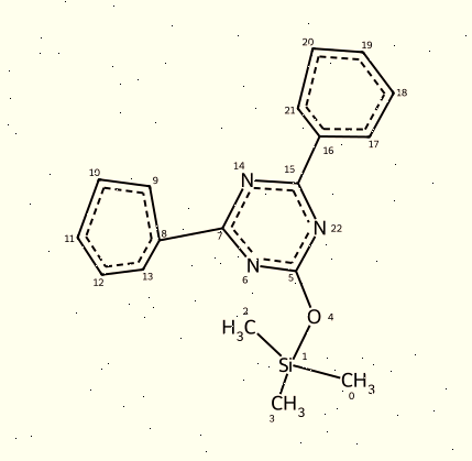 C[Si](C)(C)Oc1nc(-c2ccccc2)nc(-c2ccccc2)n1